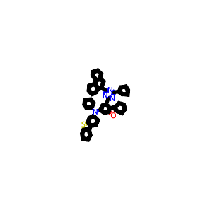 c1ccc(-c2nc(-c3cc4ccccc4c4ccccc34)nc(-c3cc(N(c4ccccc4)c4ccc5c(c4)sc4ccccc45)cc4oc5ccccc5c34)n2)cc1